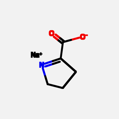 O=C([O-])C1=NCCC1.[Na+]